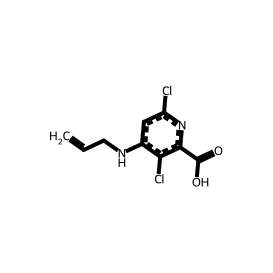 C=CCNc1cc(Cl)nc(C(=O)O)c1Cl